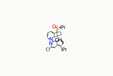 CC(C)c1ccc(C2([C@@]3(C)N=CC=CC=C3C[S@@+]([O-])C(C)C)CCC2)c2cnc(Cl)cc12